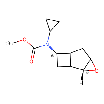 CC(C)(C)OC(=O)N(C1CC1)[C@@H]1CC2C1CC1O[C@@H]12